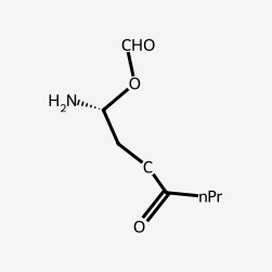 CCCC(=O)CC[C@H](N)OC=O